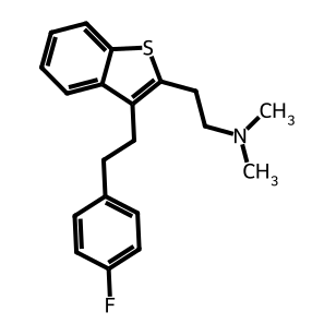 CN(C)CCc1sc2ccccc2c1CCc1ccc(F)cc1